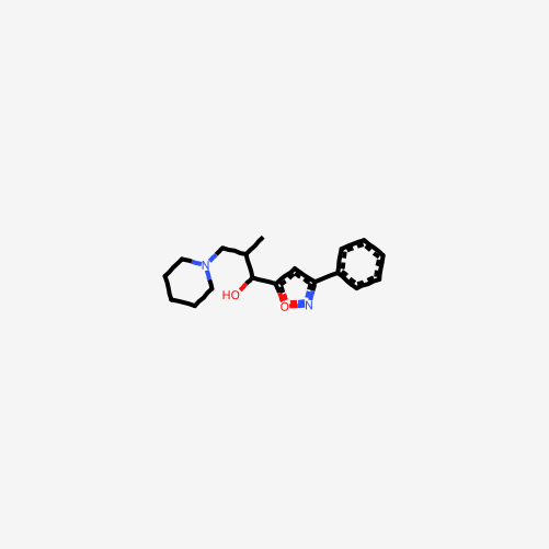 CC(CN1CCCCC1)C(O)c1cc(-c2ccccc2)no1